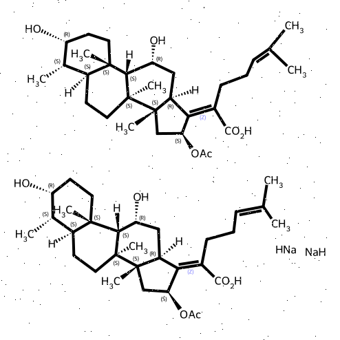 CC(=O)O[C@H]1C[C@@]2(C)[C@@H](C[C@@H](O)[C@H]3[C@@]4(C)CC[C@@H](O)[C@@H](C)[C@@H]4CC[C@@]32C)/C1=C(\CCC=C(C)C)C(=O)O.CC(=O)O[C@H]1C[C@@]2(C)[C@@H](C[C@@H](O)[C@H]3[C@@]4(C)CC[C@@H](O)[C@@H](C)[C@@H]4CC[C@@]32C)/C1=C(\CCC=C(C)C)C(=O)O.[NaH].[NaH]